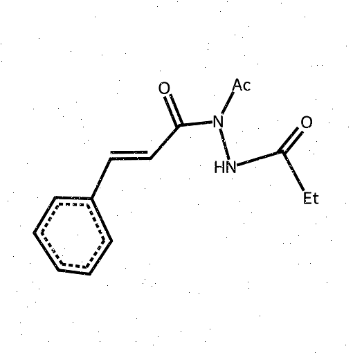 CCC(=O)NN(C(C)=O)C(=O)/C=C/c1ccccc1